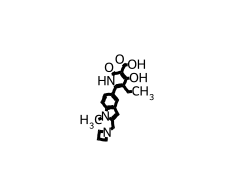 CCc1c(-c2ccc3c(c2)cc(CN2CCC2)n3C)[nH]c(=O)c(C(=O)O)c1O